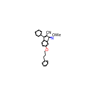 CO/N=C1\C(C#N)=C(c2ccccc2)c2ccc(OCCCc3ccccc3)cc21